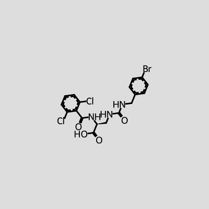 O=C(NCc1ccc(Br)cc1)NC[C@H](NC(=O)c1c(Cl)cccc1Cl)C(=O)O